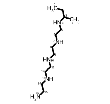 CCC(C)NCCNCCNCCNCCN